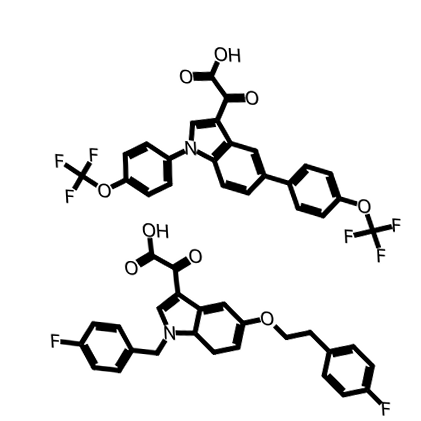 O=C(O)C(=O)C1=CN(Cc2ccc(F)cc2)C2CC=C(OCCc3ccc(F)cc3)C=C12.O=C(O)C(=O)c1cn(-c2ccc(OC(F)(F)F)cc2)c2ccc(-c3ccc(OC(F)(F)F)cc3)cc12